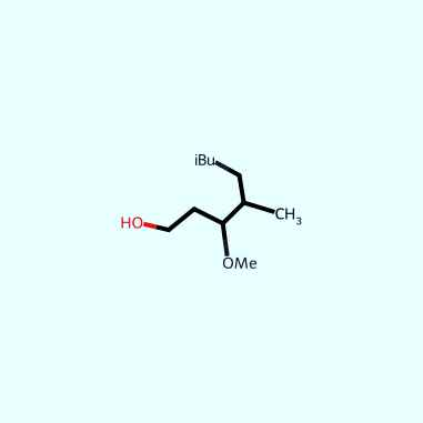 CCC(C)CC(C)C(CCO)OC